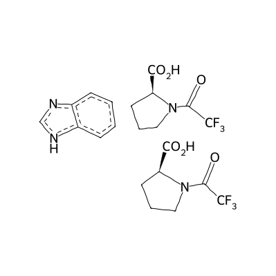 O=C(O)[C@@H]1CCCN1C(=O)C(F)(F)F.O=C(O)[C@@H]1CCCN1C(=O)C(F)(F)F.c1ccc2[nH]cnc2c1